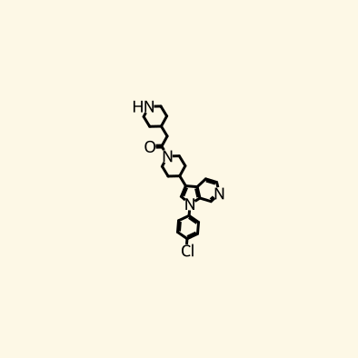 O=C(CC1CCNCC1)N1CCC(c2cn(-c3ccc(Cl)cc3)c3cnccc23)CC1